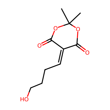 CC1(C)OC(=O)C(=CCCCO)C(=O)O1